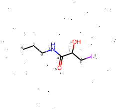 CCCNC(=O)C(O)CI